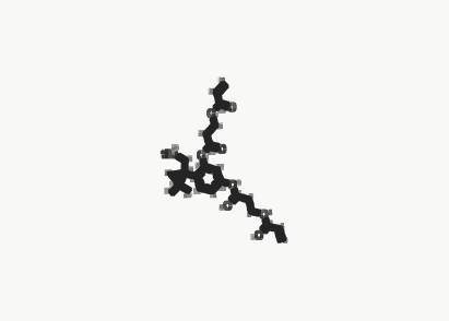 C=CC(=O)OCCC(=O)Oc1ccc(C2(CC(C)(C)C)CC2(C)C)c(OC(=O)CCOC(=O)C=C)c1